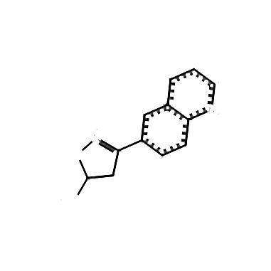 CCOC(=O)C1CC(c2ccc3ncccc3c2)=NO1